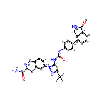 CC(C)(C)c1cc(NC(=O)Nc2ccc(-c3cccc4c3CNC4=O)cc2)n(-c2ccc3c(c2)CC(C(N)=O)NC3)n1